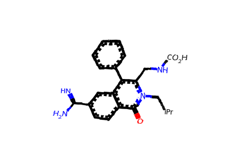 CC(C)Cn1c(CNC(=O)O)c(-c2ccccc2)c2cc(C(=N)N)ccc2c1=O